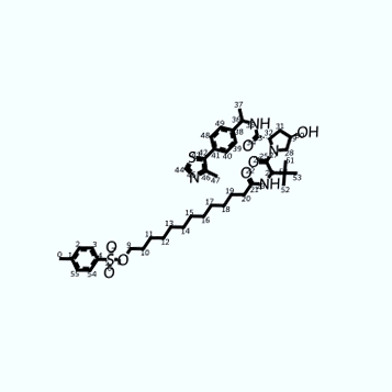 Cc1ccc(S(=O)(=O)OCCCCCCCCCCCCC(=O)NC(C(=O)N2C[C@H](O)C[C@H]2C(=O)NC(C)c2ccc(-c3scnc3C)cc2)C(C)(C)C)cc1